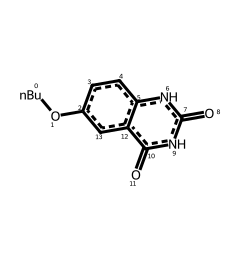 CCCCOc1ccc2[nH]c(=O)[nH]c(=O)c2c1